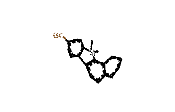 C[Si]1(C)c2cc(Br)ccc2-c2ccc3ccccc3c21